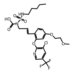 CCCCCNS(=O)(=O)N(C/C=C/c1ccc(OCCOC)cc1Oc1ncc(C(F)(F)F)cc1Cl)C(=O)O